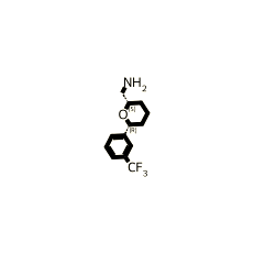 NC[C@@H]1CCC[C@H](c2cccc(C(F)(F)F)c2)O1